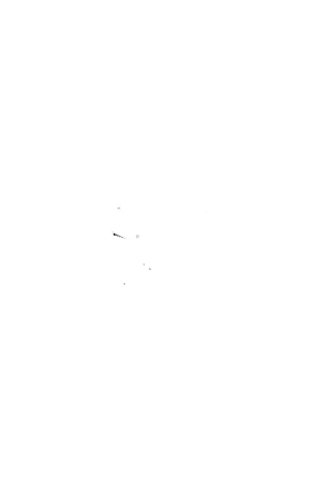 CC(C)(C)N1Cc2ccccc2C[C@@H]1C(=O)O